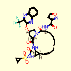 O=C(N[C@H]1CCCCCC=C[C@@H]2C[C@@]2(C(=O)NS(=O)(=O)C2CC2)NC(=O)[C@@H]2C[C@@H](Oc3nc4ccccc4nc3C(F)(F)F)CN2C1=O)c1ccon1